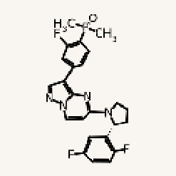 CP(C)(=O)c1ccc(-c2cnn3ccc(N4CCC[C@@H]4c4cc(F)ccc4F)nc23)cc1F